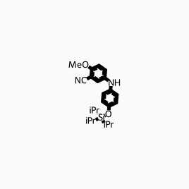 COc1ccc(Nc2ccc(O[Si](C(C)C)(C(C)C)C(C)C)cc2)cc1C#N